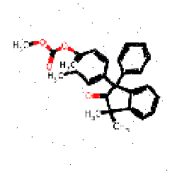 C=C(/C=C\C(=C/CC)C1(c2ccccc2)C(=O)C(C)(C)c2ccccc21)OC(=O)OC